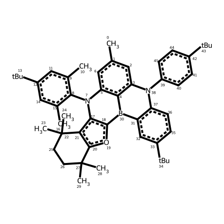 Cc1cc2c3c(c1)N(c1c(C)cc(C(C)(C)C)cc1C)c1c(oc4c1C(C)(C)CCC4(C)C)B3c1cc(C(C)(C)C)ccc1N2c1ccc(C(C)(C)C)cc1